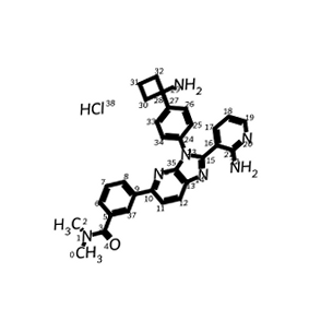 CN(C)C(=O)c1cccc(-c2ccc3nc(-c4cccnc4N)n(-c4ccc(C5(N)CCC5)cc4)c3n2)c1.Cl